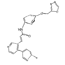 O=C(C=Cc1cnccc1-c1ccc(F)cc1)Nc1ccc(OCc2nnco2)cc1